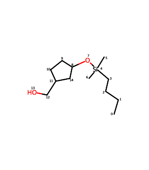 CCCC[Si](C)(C)OC1CCC(CO)C1